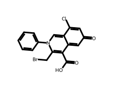 O=C(O)c1c2cc(=O)cc(Cl)c-2cn(-c2ccccc2)c1CBr